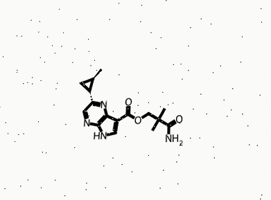 C[C@@H]1C[C@H]1c1cnc2[nH]cc(C(=O)OCC(C)(C)C(N)=O)c2n1